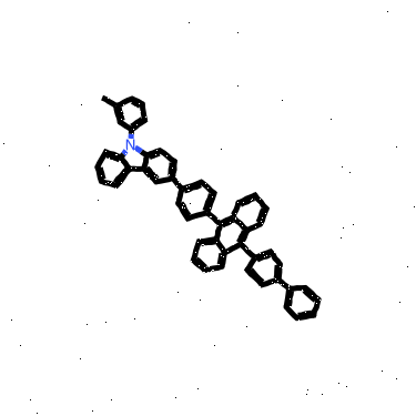 Cc1cccc(-n2c3ccccc3c3cc(-c4ccc(-c5c6ccccc6c(-c6ccc(-c7ccccc7)cc6)c6ccccc56)cc4)ccc32)c1